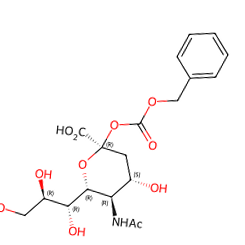 CC(=O)N[C@H]1[C@H]([C@H](O)[C@H](O)CO)O[C@](OC(=O)OCc2ccccc2)(C(=O)O)C[C@@H]1O